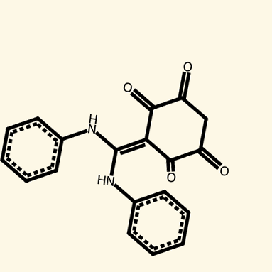 O=C1CC(=O)C(=O)C(=C(Nc2ccccc2)Nc2ccccc2)C1=O